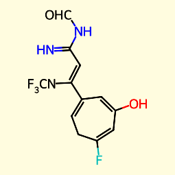 N=C(/C=C(\NC(F)(F)F)C1=CCC(F)=CC(O)=C1)NC=O